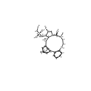 COc1c2cccc1-c1ccccc1OCCN(C)C(=O)N1C[C@H](F)[C@H](NS(=O)(=O)CF)[C@@H]1C2